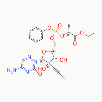 CC#C[C@@]1(O)C(O)[C@@H](COP(=O)(Oc2ccccc2)O[C@@H](C)C(=O)OC(C)C)O[C@H]1n1ncc(N)nc1=O